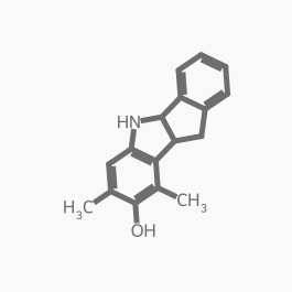 Cc1cc2c(c(C)c1O)C1Cc3ccccc3C1N2